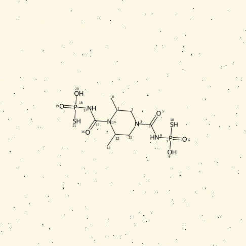 CC1CN(C(=O)NP(=O)(O)S)CC(C)N1C(=O)NP(=O)(O)S